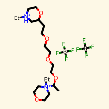 CC[NH+]1CCOC(CCOCCOCCOC(C)[N+]2(CC)CCOCC2)C1.F[B-](F)(F)F.F[B-](F)(F)F